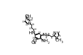 CN1C=C[N+]=C1CCCNc1cc(NCCCn2cc[n+](C)c2)ccc1N.[Cl-].[Cl-]